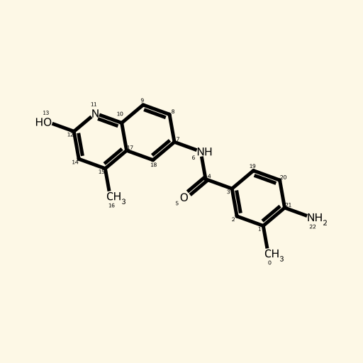 Cc1cc(C(=O)Nc2ccc3nc(O)cc(C)c3c2)ccc1N